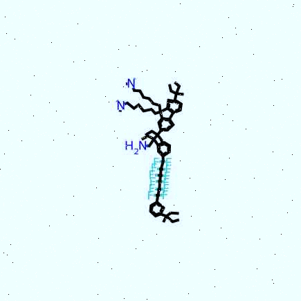 CCC(C)(CC)c1cccc(C(F)(F)C(F)(F)C(F)(F)C(F)(F)C(F)(F)C(F)(F)c2cccc(C(CC)(CN)C(CC)(CC)c3ccc4c(c3)C(CCCCCCN(C)C)(CCCCCCN(C)C)c3cc(C(C)(CC)CC)ccc3-4)c2)c1